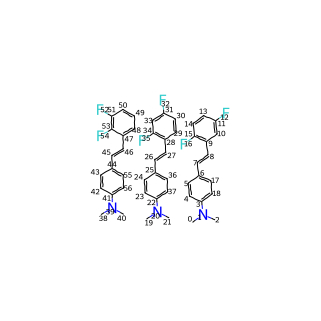 CN(C)c1ccc(C=Cc2cc(F)ccc2F)cc1.CN(C)c1ccc(C=Cc2ccc(F)cc2F)cc1.CN(C)c1ccc(C=Cc2cccc(F)c2F)cc1